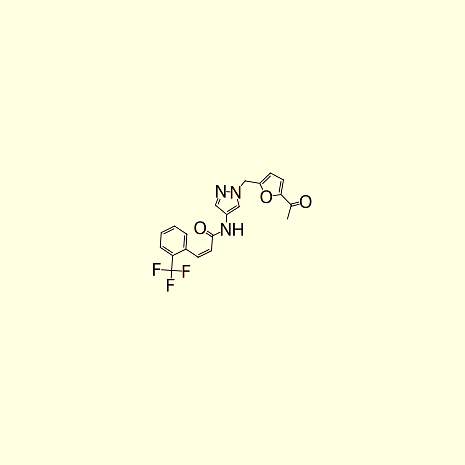 CC(=O)c1ccc(Cn2cc(NC(=O)/C=C\c3ccccc3C(F)(F)F)cn2)o1